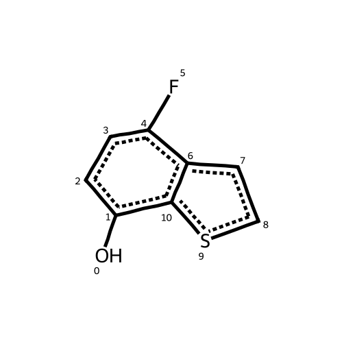 Oc1ccc(F)c2ccsc12